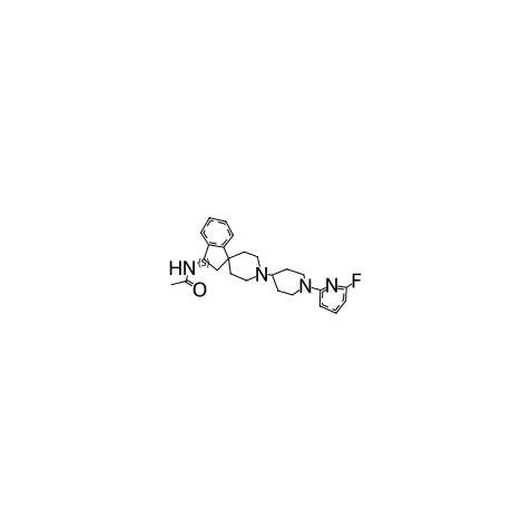 CC(=O)N[C@H]1CC2(CCN(C3CCN(c4cccc(F)n4)CC3)CC2)c2ccccc21